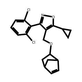 Clc1cccc(Cl)c1-c1noc(C2CC2)c1COC1CC2C=CC1C2